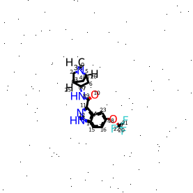 CN1C[C@@H]2C[C@H]1C[C@H]2NC(=O)c1n[nH]c2ccc(OC(F)(F)F)cc12